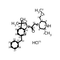 COC[C@H]1CN[C@H](C)CN1CC(=O)N1CC(C)(C)c2ccc(Cc3ccccc3)nc21.Cl